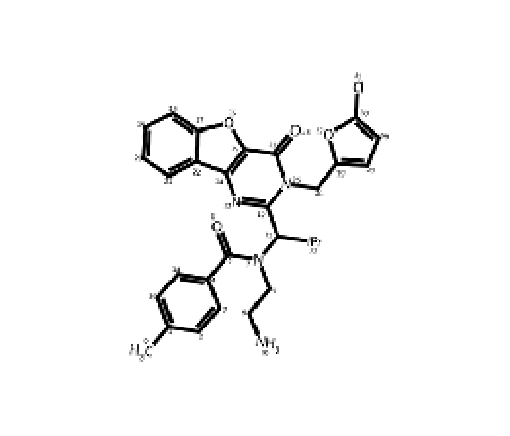 Cc1ccc(C(=O)N(CCN)C(c2nc3c(oc4ccccc43)c(=O)n2Cc2ccc(Cl)o2)C(C)C)cc1